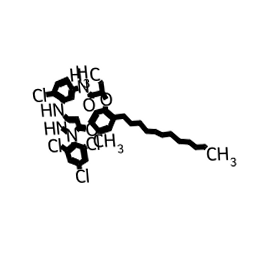 CCCCCCCCCCCCc1cc(C)ccc1OC(CC)C(=O)Nc1ccc(Cl)c(Nc2cc(=O)n(-c3c(Cl)cc(Cl)cc3Cl)[nH]2)c1